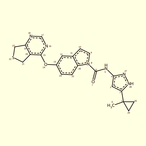 CC1(c2cc(NC(=O)n3ccc4cc(Oc5ncnc6c5CSC6)ccc43)n[nH]2)CC1